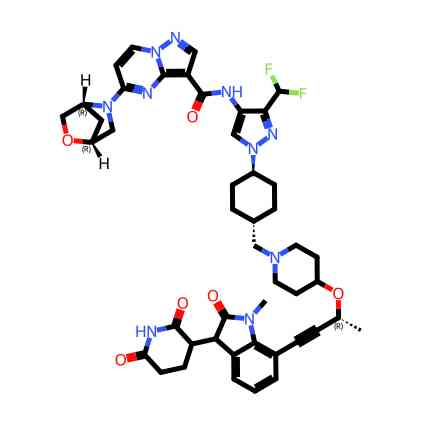 C[C@H](C#Cc1cccc2c1N(C)C(=O)C2C1CCC(=O)NC1=O)OC1CCN(C[C@H]2CC[C@H](n3cc(NC(=O)c4cnn5ccc(N6C[C@H]7C[C@@H]6CO7)nc45)c(C(F)F)n3)CC2)CC1